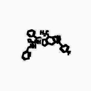 C[C@@H]1C2=C(CC[C@@H]2CC(NC(=O)NCc2ccccn2)c2ccccc2)Cc2c1cnn2-c1ccc(F)cc1